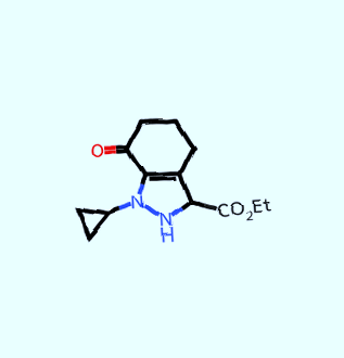 CCOC(=O)C1NN(C2CC2)C2=C1CCCC2=O